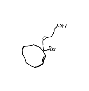 OCCOC1(Br)C=CCCCCC1